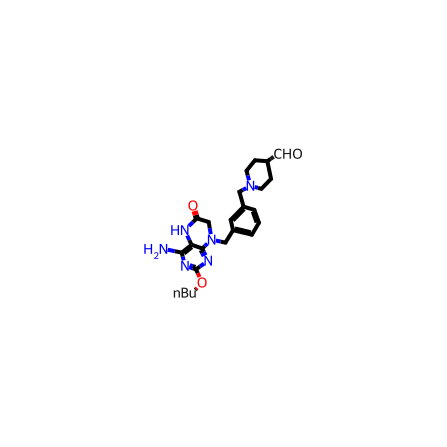 CCCCOc1nc(N)c2c(n1)N(Cc1cccc(CN3CCC(C=O)CC3)c1)CC(=O)N2